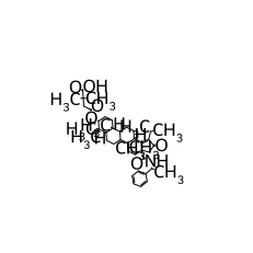 CC(C)C1=C2[C@H]3CC[C@@H]4[C@@]5(C)CC[C@H](OC(=O)CC(C)(C)C(=O)O)C(C)(C)[C@@H]5CC[C@@]4(C)[C@]3(C)CC[C@@]2(C(=O)NC(C)c2ccccc2)CC1=O